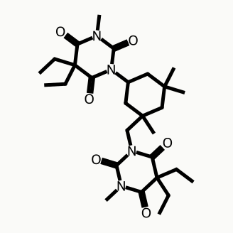 CCC1(CC)C(=O)N(C)C(=O)N(CC2(C)CC(N3C(=O)N(C)C(=O)C(CC)(CC)C3=O)CC(C)(C)C2)C1=O